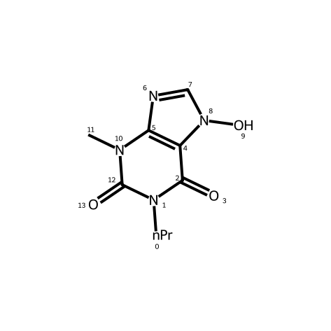 CCCn1c(=O)c2c(ncn2O)n(C)c1=O